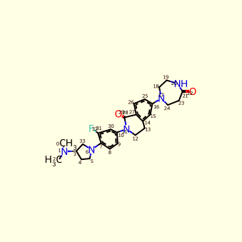 CN(C)[C@@H]1CCN(c2ccc(N3CCc4cc(N5CCNC(=O)CC5)ccc4C3=O)cc2F)C1